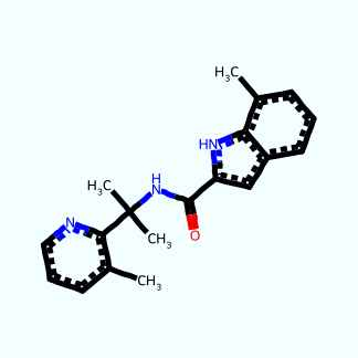 Cc1cccnc1C(C)(C)NC(=O)c1cc2cccc(C)c2[nH]1